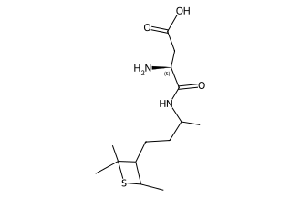 CC(CCC1C(C)SC1(C)C)NC(=O)[C@@H](N)CC(=O)O